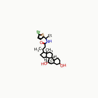 CCC(NC(=O)C[C@@H](C)C1CC[C@H]2C3[C@H](O)CC4CC(O)CCC4(C)[C@H]3CCC12C)c1ccc(Br)s1